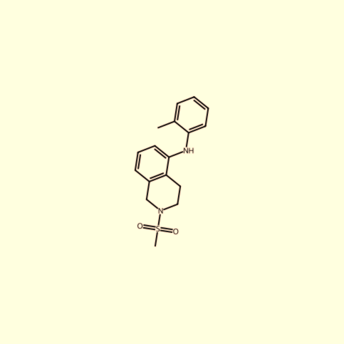 Cc1ccccc1Nc1cccc2c1CCN(S(C)(=O)=O)C2